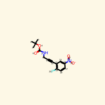 CC(C)(C)OC(=O)NCC#Cc1cc([N+](=O)[O-])ccc1F